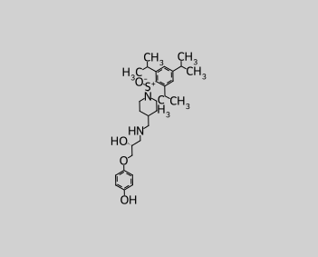 CC(C)c1cc(C(C)C)c([S+]([O-])N2CCC(CNC[C@@H](O)COc3ccc(O)cc3)CC2)c(C(C)C)c1